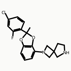 CC1(c2ccc(Cl)cc2F)Oc2cccc(N3CC4(CCNC4)C3)c2O1